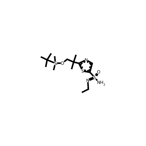 CCN=S(N)(=O)c1cnc(C(C)(C)CO[Si](C)(C)C(C)(C)C)s1